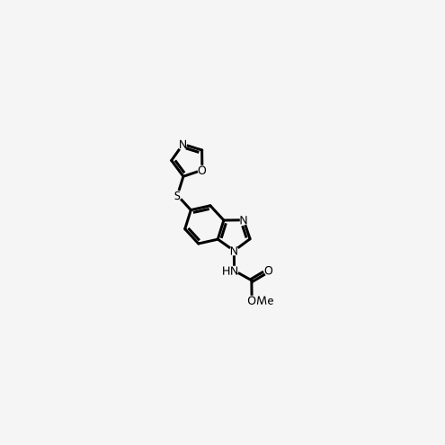 COC(=O)Nn1cnc2cc(Sc3cnco3)ccc21